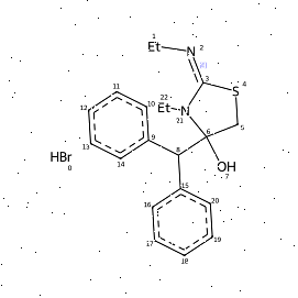 Br.CC/N=C1/SCC(O)(C(c2ccccc2)c2ccccc2)N1CC